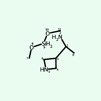 CC(N)C1CNC1.CO[SiH2]OC